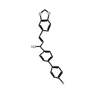 OC(/C=C/c1ccc2c(c1)OCO2)c1ccc(-c2ccc(F)cc2)cc1